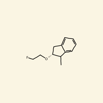 CC1c2ccccc2C[C@H]1OCCF